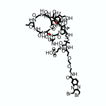 CC[C@H](C)[C@@H]1NC(=O)CNC(=O)[C@H]2Cc3c4[nH]c5cc(ccc35)OC(C(=O)N(C)CCSSC(C)(C)C(NC(=O)CCOCCOCCNC(=O)c3ccc5nc(CBr)c(CBr)nc5c3)C(=O)NCCS(=O)(=O)O)(C(=O)N[C@@H]([C@@H](C)[C@@H](O)CO)C(=O)N2)[C@@H]2C[C@@H](O)CN2C(=O)[C@H](CC(N)=O)NC(=O)[C@H](C[S+]4[O-])NC(=O)CNC1=O